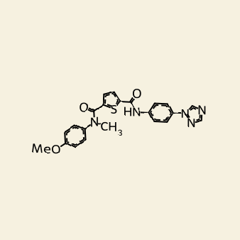 COc1ccc(N(C)C(=O)c2ccc(C(=O)Nc3ccc(-n4cncn4)cc3)s2)cc1